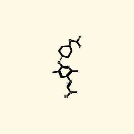 CCN(C)/C=N/c1cc(C)c(O[C@H]2CC[C@H](OC(F)F)CC2)nc1C